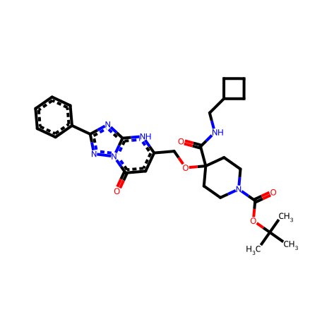 CC(C)(C)OC(=O)N1CCC(OCc2cc(=O)n3nc(-c4ccccc4)nc3[nH]2)(C(=O)NCC2CCC2)CC1